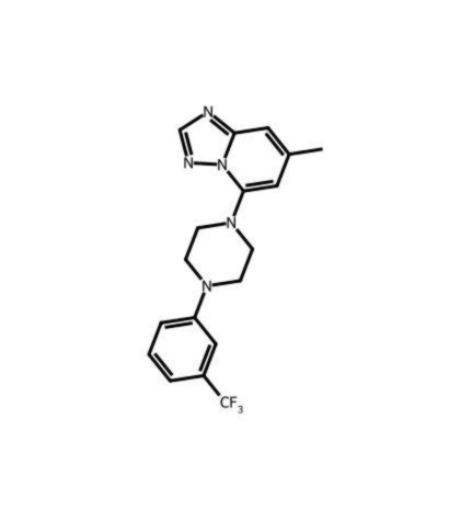 Cc1cc(N2CCN(c3cccc(C(F)(F)F)c3)CC2)n2ncnc2c1